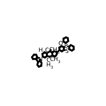 CC1(C)c2ccc(-n3c4ccccc4c4ccccc43)cc2C(C)(C)c2ccc(-c3cc4c5c(c3)Sc3ccccc3B5c3ccccc3O4)cc21